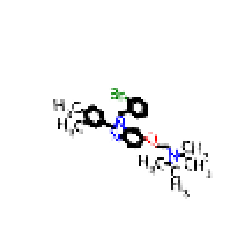 Cc1ccc(-c2nc3ccc(OCCN(C(C)C)C(C)C)cc3n2Cc2ccccc2Br)cc1C